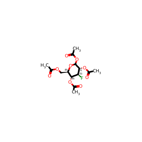 CC(=O)OC[C@H]1OC(OC(C)=O)[C@H](OC(C)=O)[C@@H](F)[C@@H]1OC(C)=O